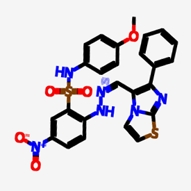 COc1ccc(NS(=O)(=O)c2cc([N+](=O)[O-])ccc2N/N=C\c2c(-c3ccccc3)nc3sccn23)cc1